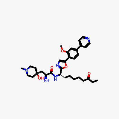 CCC(=O)CCCCC[C@H](NC(=O)C(=N)CC1(O)CCN(C)CC1)c1ncc(-c2ccc(-c3ccncc3)cc2OC)o1